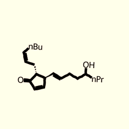 CCCC/C=C\C[C@H]1C(=O)C=C[C@@H]1C=CCCC(O)CCC